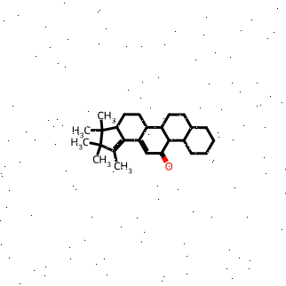 CC1=C2C3=CC(=O)C4C5CCCCC5CCC4C3CCC2C(C)(C)C1(C)C